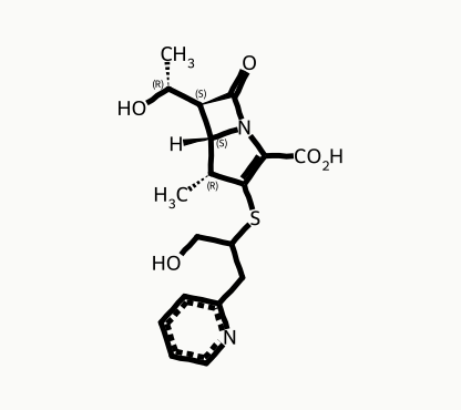 C[C@@H](O)[C@H]1C(=O)N2C(C(=O)O)=C(SC(CO)Cc3ccccn3)[C@H](C)[C@H]12